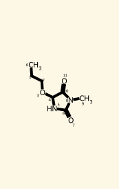 CCCOC1NC(=O)N(C)C1=O